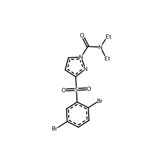 CCN(CC)C(=O)n1ccc(S(=O)(=O)c2cc(Br)ccc2Br)n1